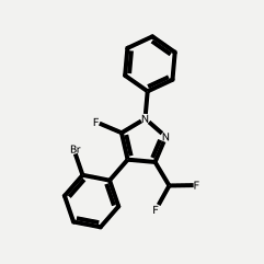 Fc1c(-c2ccccc2Br)c(C(F)F)nn1-c1ccccc1